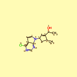 CC(O)C1=CC(n2ccc3c(Cl)ncnc32)CC1C